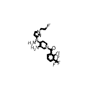 NC1=C(N(N)c2ccn(CCF)n2)CCN(C(=O)c2cccc(C(F)(F)F)c2Cl)C1